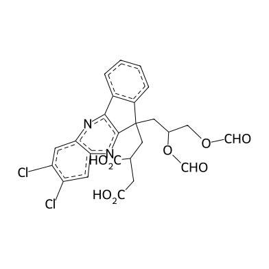 O=COCC(CC1(CC(CC(=O)O)C(=O)O)c2ccccc2-c2nc3cc(Cl)c(Cl)cc3nc21)OC=O